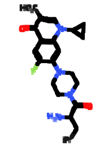 CC(C)CC(N)C(=O)N1CCN(c2cc3c(cc2F)c(=O)c(C(=O)O)cn3C2CC2)CC1